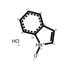 Cl.[O-][NH+]1C=Cc2ccccc21